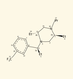 CC[C@H]1CN([C@@H](CC)c2cccc(C(F)(F)F)c2)[C@H](CC)CN1C(C)C